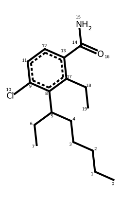 CCCCCC(CC)c1c(Cl)ccc(C(N)=O)c1CC